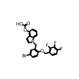 O=C(O)Oc1cccc2c1ccn2Cc1cc(Br)ccc1OCc1ccc(F)c(F)c1F